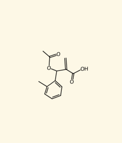 C=C(C(=O)O)C(OC(C)=O)c1ccccc1C